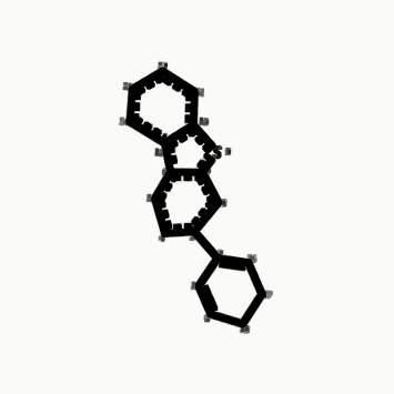 C1=CC(c2ccc3c(c2)sc2ccccc23)=CCC1